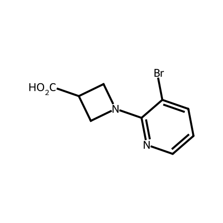 O=C(O)C1CN(c2ncccc2Br)C1